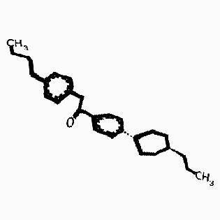 CCCCc1ccc(CC(=O)c2ccc([C@H]3CC[C@H](CCC)CC3)cc2)cc1